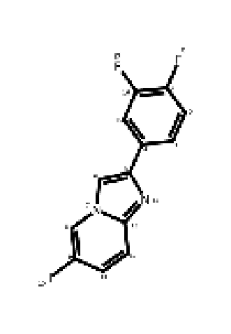 Fc1ccc(-c2cn3cc(I)ccc3n2)cc1F